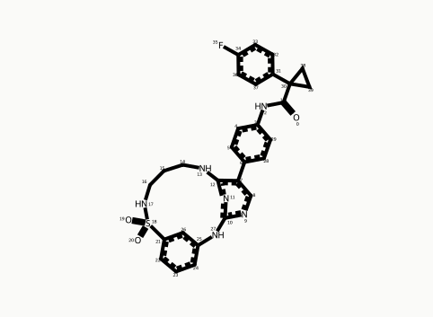 O=C(Nc1ccc(-c2cnc3nc2NCCCNS(=O)(=O)c2cccc(c2)N3)cc1)C1(c2ccc(F)cc2)CC1